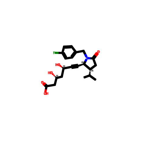 CC(C)[C@H]1CC(=O)N(Cc2ccc(F)cc2)[C@@H]1C#C[C@@H](O)C[C@@H](O)CC(=O)O